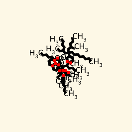 CCCCCCCCC(CC(CC)CCCC)(CC(CC)CCCC)c1ccccc1OP(Oc1ccccc1C(CCCCCCCC)(CC(CC)CCCC)CC(CC)CCCC)Oc1ccccc1C(CCCCCCCC)(CC(CC)CCCC)CC(CC)CCCC